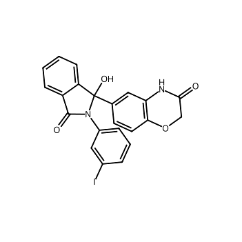 O=C1COc2ccc(C3(O)c4ccccc4C(=O)N3c3cccc(I)c3)cc2N1